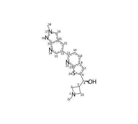 CN1CC([C@H](O)c2cc3ccc(-c4cnc5nn(C)cc5c4)nc3s2)C1